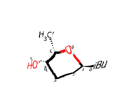 CCC(C)[C@H]1CC[C@H](O)[C@H](C)O1